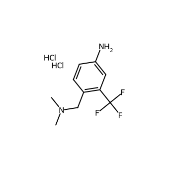 CN(C)Cc1ccc(N)cc1C(F)(F)F.Cl.Cl